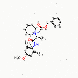 COc1cc(C)c(NC(=O)C(C)[N+]2(CC(=O)OCc3ccccc3)CCCCCC2)c(C)c1